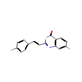 O=c1[nH]c(C=Cc2ccc(F)cc2)nc2cc(Cl)ccc12